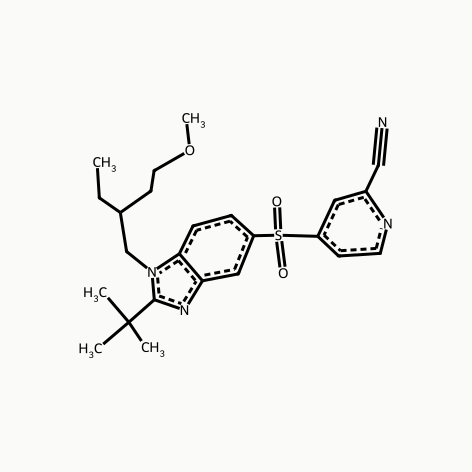 CCC(CCOC)Cn1c(C(C)(C)C)nc2cc(S(=O)(=O)c3ccnc(C#N)c3)ccc21